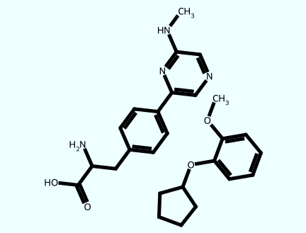 CNc1cncc(-c2ccc(CC(N)C(=O)O)cc2)n1.COc1ccccc1OC1CCCC1